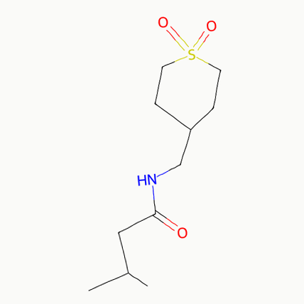 CC(C)CC(=O)NCC1CCS(=O)(=O)CC1